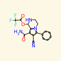 N#Cc1c(C(N)=O)c2n(c1-c1ccccc1)CCNC2OC(=O)C(F)(F)F